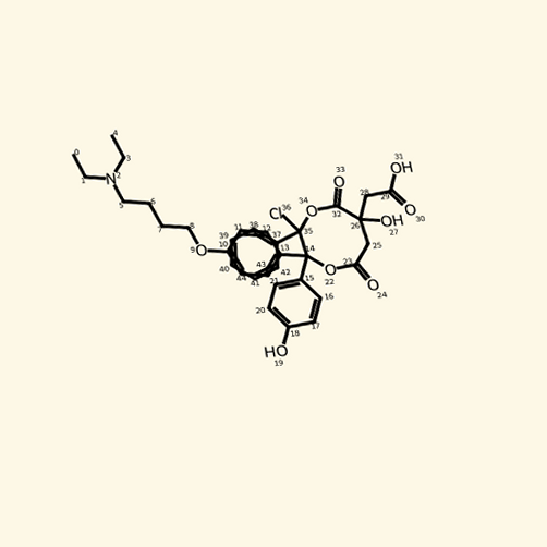 CCN(CC)CCCCOc1ccc(C2(c3ccc(O)cc3)OC(=O)CC(O)(CC(=O)O)C(=O)OC2(Cl)c2ccccc2)cc1